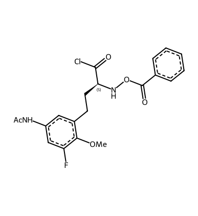 COc1c(F)cc(NC(C)=O)cc1CC[C@H](NOC(=O)c1ccccc1)C(=O)Cl